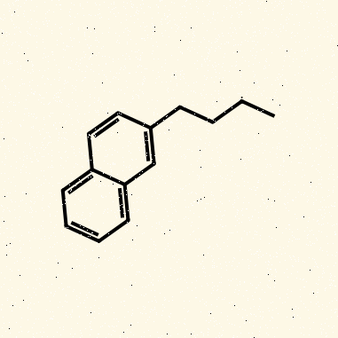 C[CH]CCc1ccc2ccccc2c1